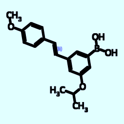 COc1ccc(/C=C/c2cc(OC(C)C)cc(B(O)O)c2)cc1